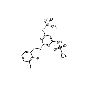 CCOC(=O)[C@@H](C)Oc1cc(NS(=O)(=O)C2CC2)nc(SCc2cccc(F)c2F)n1